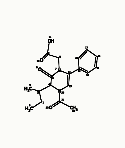 CCC(C)C1C(=O)N(CC(=O)O)C(c2ccccc2)=CN1C(C)=O